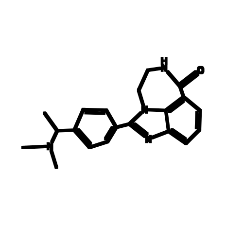 CC(c1ccc(-c2nc3cccc4c3n2CCNC4=O)cc1)N(C)C